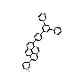 c1cncc(-c2cc(-c3ccc(-c4ccc5ccc6c(-c7cccnc7)ccc7ccc4c5c76)cc3)cc(-c3cccnc3)c2)c1